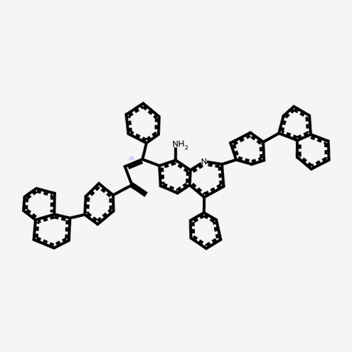 C=C(/C=C(/c1ccccc1)c1ccc2c(-c3ccccc3)cc(-c3ccc(-c4cccc5ccccc45)cc3)nc2c1N)c1ccc(-c2cccc3ccccc23)cc1